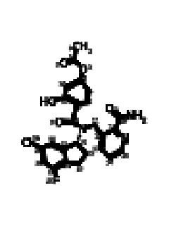 CC(=O)Oc1ccc(C(=O)N(Cc2cccnc2C(N)=O)[C@@H]2CCc3c(F)cc(Cl)cc32)c(O)c1